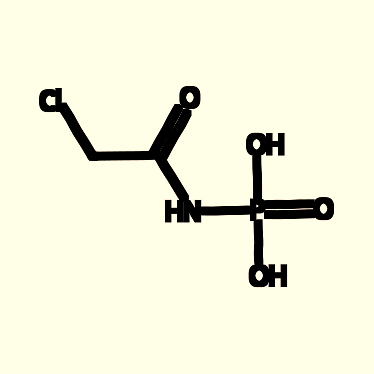 O=C(CCl)NP(=O)(O)O